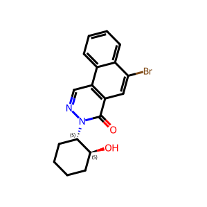 O=c1c2cc(Br)c3ccccc3c2cnn1[C@H]1CCCC[C@@H]1O